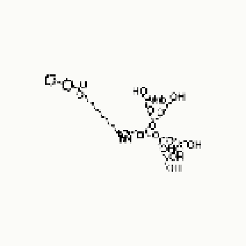 O=C(OCCCCCCCCCCn1cc(COC(COC(COCC(O)CO)COCC(O)CO)COC(COCC(O)CO)COCC(O)CO)nn1)c1ccc(-c2ccccc2)cc1